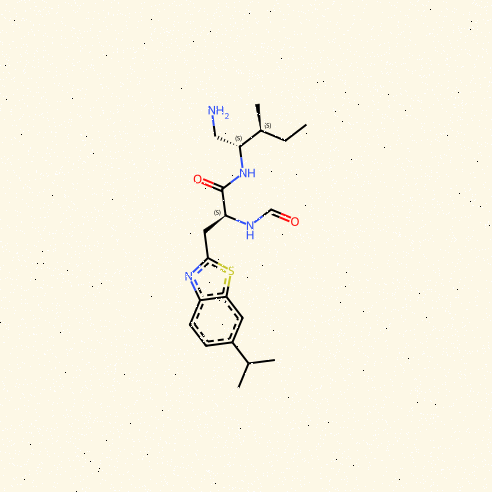 CC[C@H](C)[C@@H](CN)NC(=O)[C@H](Cc1nc2ccc(C(C)C)cc2s1)NC=O